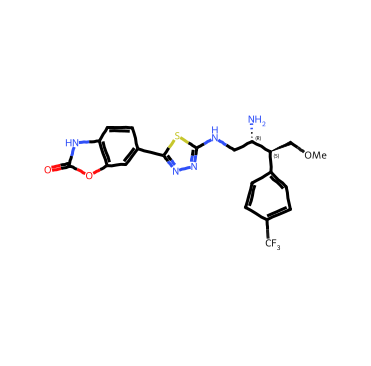 COC[C@@H](c1ccc(C(F)(F)F)cc1)[C@@H](N)CNc1nnc(-c2ccc3[nH]c(=O)oc3c2)s1